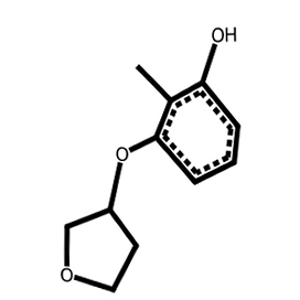 Cc1c(O)cccc1OC1CCOC1